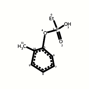 CCP(=O)(O)Oc1ccccc1C